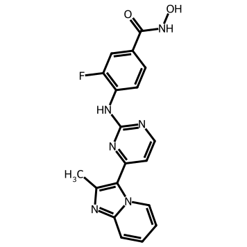 Cc1nc2ccccn2c1-c1ccnc(Nc2ccc(C(=O)NO)cc2F)n1